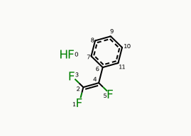 F.FC(F)=C(F)c1ccccc1